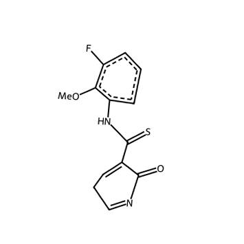 COc1c(F)cccc1NC(=S)C1=CCC=NC1=O